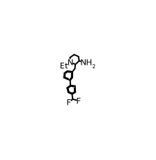 CCN1CCCC(N)C1Cc1cccc(-c2ccc(C(F)F)cc2)c1